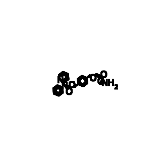 NOC(=O)COC[C@H]1CC[C@H](COC(=O)N(c2ccccc2)c2ccccn2)CC1